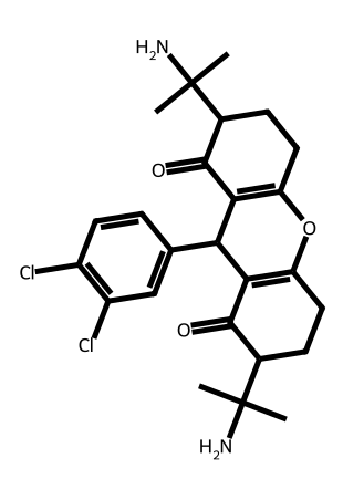 CC(C)(N)C1CCC2=C(C1=O)C(c1ccc(Cl)c(Cl)c1)C1=C(CCC(C(C)(C)N)C1=O)O2